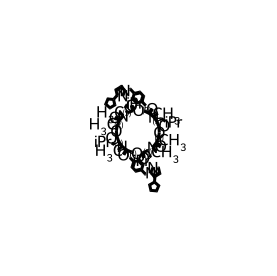 CC(C)C[C@H]1C(=O)O[C@H](Cc2ccc(Cn3nccc3C3CCCC3)cc2)C(=O)N(C)[C@@H](CC(C)C)C(=O)O[C@H](C)C(=O)N(C)[C@@H](CC(C)C)C(=O)O[C@H](Cc2ccc(Cn3ccc(C4CCCC4)n3)cc2)C(=O)N(C)[C@@H](CC(C)C)C(=O)O[C@H](C)C(=O)N1C